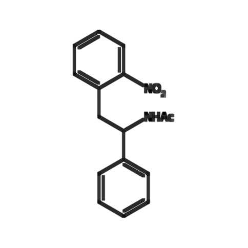 CC(=O)NC(Cc1ccccc1[N+](=O)[O-])c1ccccc1